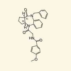 COc1ccc(C(=O)NCC(=O)N2c3ccccc3N(Cc3ccccc3)C(=O)[C@H]3CCC[C@H]32)cc1